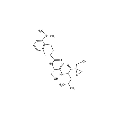 CC(C)CC(NC(=O)[C@H](CO)NC(=O)C1CCc2c(cccc2N(C)C)C1)C(=O)C1(CO)CO1